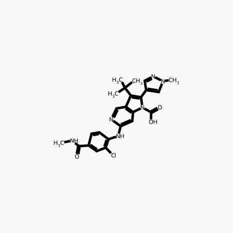 CNC(=O)c1ccc(Nc2cc3c(cn2)c(C(C)(C)C)c(-c2cnn(C)c2)n3C(=O)O)c(Cl)c1